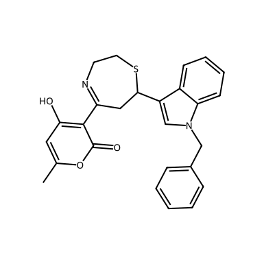 Cc1cc(O)c(C2=NCCSC(c3cn(Cc4ccccc4)c4ccccc34)C2)c(=O)o1